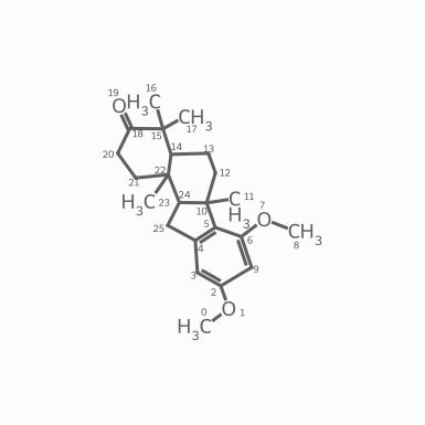 COc1cc2c(c(OC)c1)C1(C)CCC3C(C)(C)C(=O)CCC3(C)C1C2